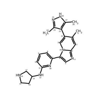 Cc1cc2ncc(-c3cccc(NC4CCNC4)n3)n2cc1-c1c(C)n[nH]c1C